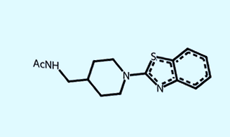 CC(=O)NCC1CCN(c2nc3ccccc3s2)CC1